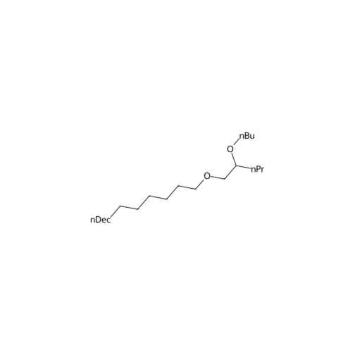 CCCCCCCCCCCCCCCCOCC(CCC)OCCCC